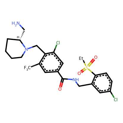 CCS(=O)(=O)c1ccc(Cl)cc1CNC(=O)c1cc(Cl)c(CN2CCCC[C@@H]2CN)c(C(F)(F)F)c1